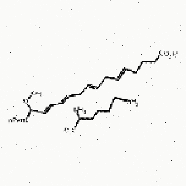 CCCCCC(C=CC=CCC=CCC=CCCCC(=O)O)OO.NCCCCC(N)C(=O)O